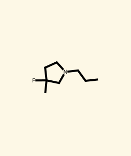 CCCN1CCC(C)(F)C1